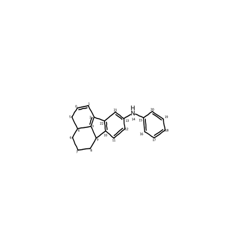 C1=CC2=C3C(C1)CCCC3c1ccc(Nc3ccccc3)cc12